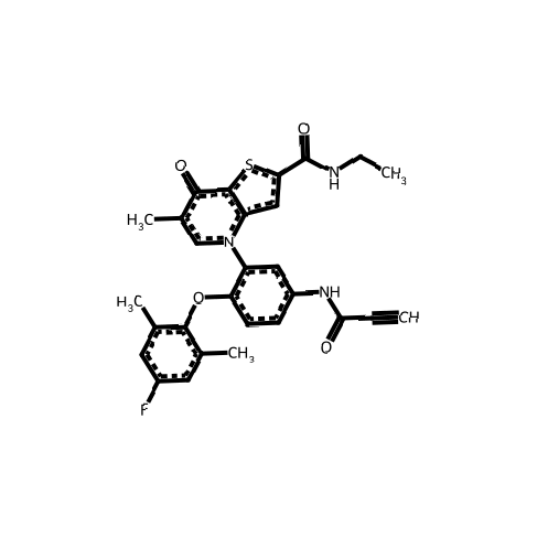 C#CC(=O)Nc1ccc(Oc2c(C)cc(F)cc2C)c(-n2cc(C)c(=O)c3sc(C(=O)NCC)cc32)c1